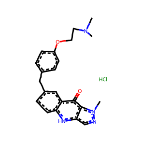 CN(C)CCOc1ccc(Cc2ccc3[nH]c4cnn(C)c4c(=O)c3c2)cc1.Cl